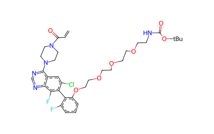 C=CC(=O)N1CCN(c2ncnc3c(F)c(-c4c(F)cccc4OCCOCCOCCOCCNC(=O)OC(C)(C)C)c(Cl)cc23)CC1